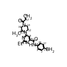 Bc1ccc(NC(=O)c2cc(N3CCN(C(=O)C=C)CC3C)nc(CC)n2)cc1